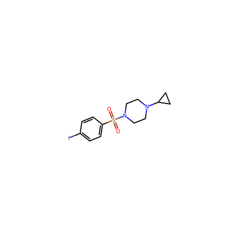 O=S(=O)(c1ccc(I)cc1)N1CCN(C2CC2)CC1